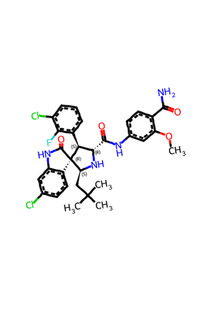 COc1cc(NC(=O)[C@@H]2N[C@@H](CC(C)(C)C)[C@@]3(C(=O)Nc4cc(Cl)ccc43)[C@H]2c2cccc(Cl)c2F)ccc1C(N)=O